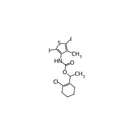 Cc1c(I)sc(I)c1NC(=O)OC(C)C1=C(Cl)CCCC1